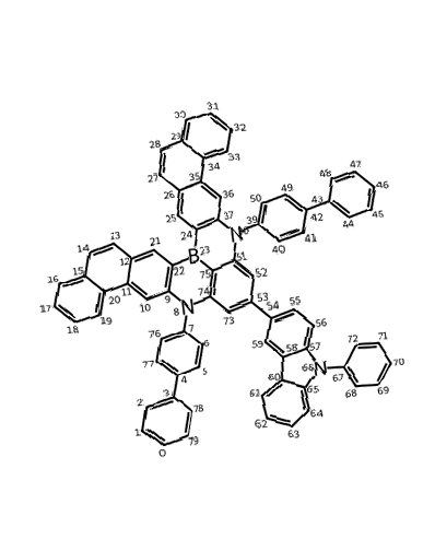 c1ccc(-c2ccc(N3c4cc5c(ccc6ccccc65)cc4B4c5cc6ccc7ccccc7c6cc5N(c5ccc(-c6ccccc6)cc5)c5cc(-c6ccc7c(c6)c6ccccc6n7-c6ccccc6)cc3c54)cc2)cc1